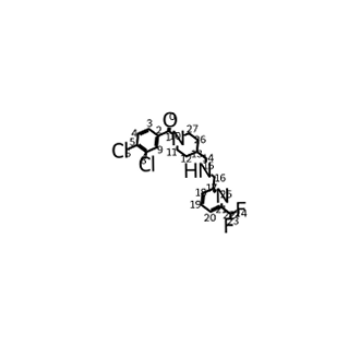 O=C(c1ccc(Cl)c(Cl)c1)N1CCC(CNCc2cccc(C(F)F)n2)CC1